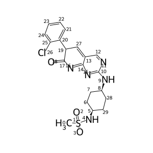 CS(=O)(=O)N[C@H]1CC[C@@H](Nc2ncc3c(n2)=NC(=O)C(c2ccccc2Cl)C=3)CC1